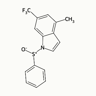 Cc1cc(C(F)(F)F)cc2c1ccn2[S+]([O-])c1ccccc1